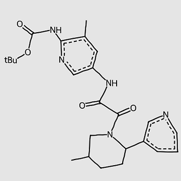 Cc1cc(NC(=O)C(=O)N2CC(C)CCC2c2cccnc2)cnc1NC(=O)OC(C)(C)C